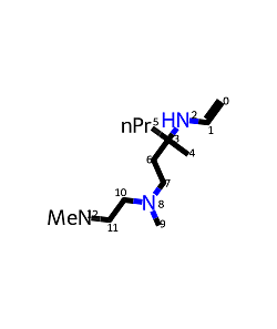 C=CNC(C)(CCC)CCN(C)CCNC